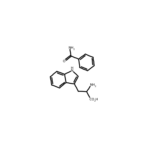 NC(=O)c1ccccc1.NC(Cc1c[nH]c2ccccc12)C(=O)O